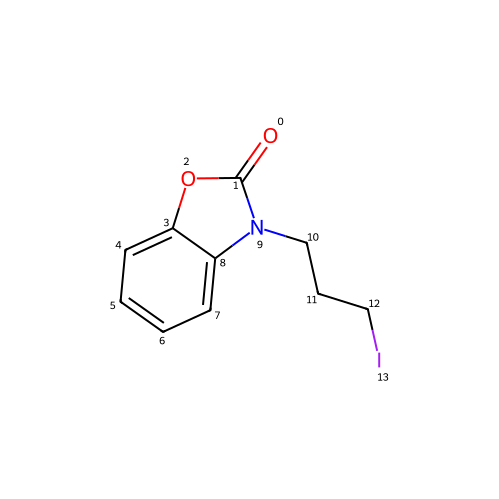 O=c1oc2ccccc2n1CCCI